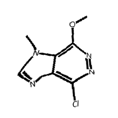 COc1nnc(Cl)c2ncn(C)c12